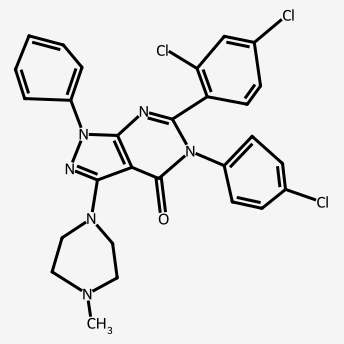 CN1CCN(c2nn(-c3ccccc3)c3nc(-c4ccc(Cl)cc4Cl)n(-c4ccc(Cl)cc4)c(=O)c23)CC1